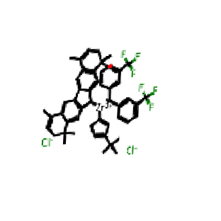 CC1=CCC(C)(C)c2cc3c(cc21)-c1cc2c(cc1[CH]3[Zr+2]([C]1=CC(C(C)(C)C)=CC1)=[C](c1cccc(C(F)(F)F)c1)c1cccc(C(F)(F)F)c1)C(C)(C)CC=C2C.[Cl-].[Cl-]